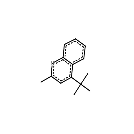 Cc1cc(C(C)(C)C)c2ccccc2n1